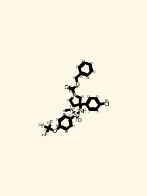 CN=S(=O)(NC1(c2ccc(Cl)cc2)CCN(C(=O)OCc2ccccc2)C1)c1ccc(OC(F)(F)F)cc1